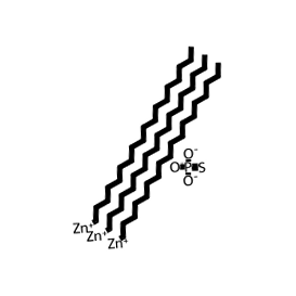 CCCCCCCCCCCCCCCCC[CH2][Zn+].CCCCCCCCCCCCCCCCC[CH2][Zn+].CCCCCCCCCCCCCCCCC[CH2][Zn+].[O-]P([O-])([O-])=S